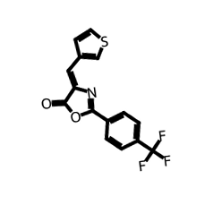 O=C1OC(c2ccc(C(F)(F)F)cc2)=NC1=Cc1ccsc1